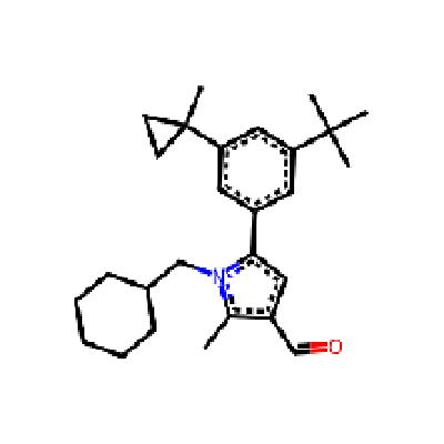 Cc1c(C=O)cc(-c2cc(C(C)(C)C)cc(C3(C)CC3)c2)n1CC1CCCCC1